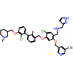 Cc1c(COc2cc(OCc3cncc(C#N)c3)c(CNCc3cc[nH]n3)cc2Cl)cccc1-c1cccc(OCC2CCCN(C)C2)c1Cl